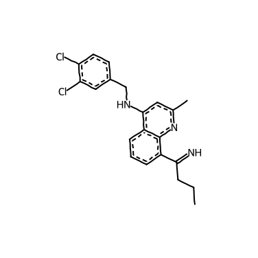 CCCC(=N)c1cccc2c(NCc3ccc(Cl)c(Cl)c3)cc(C)nc12